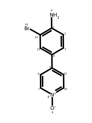 Nc1ccc(-c2cc[n+]([O-])cc2)cc1Br